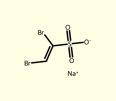 O=S(=O)([O-])C(Br)=CBr.[Na+]